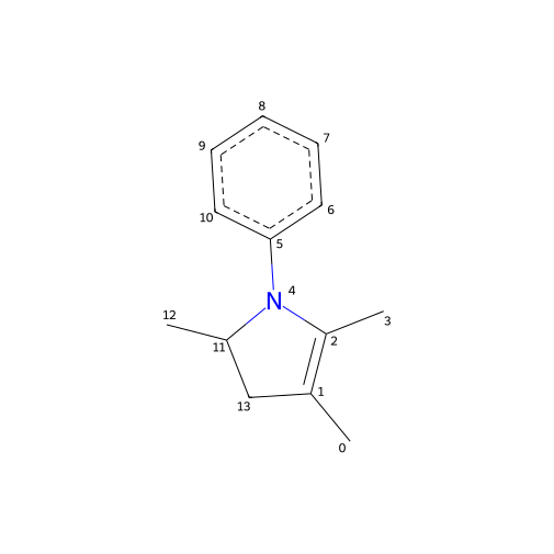 CC1=C(C)N(c2ccccc2)C(C)C1